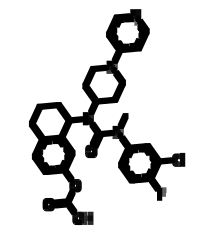 CN(C(=O)N(C1CCN(c2ccncc2)CC1)C1CCCc2ccc(OC(=O)O)cc21)c1ccc(F)c(Cl)c1